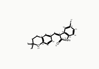 CC1(C)CCc2cc(C=C3C(=O)Nc4ccc(F)cc43)ccc2O1